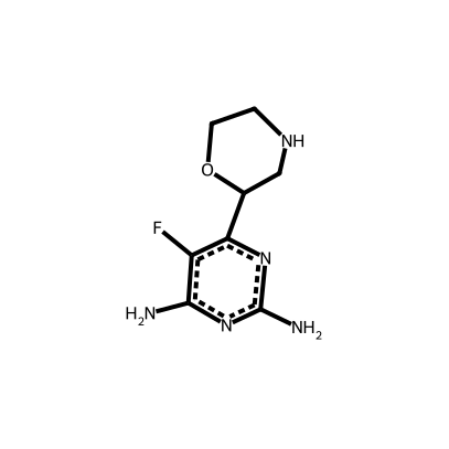 Nc1nc(N)c(F)c(C2CNCCO2)n1